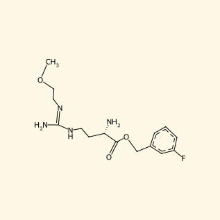 COCCN=C(N)NCC[C@H](N)C(=O)OCc1cccc(F)c1